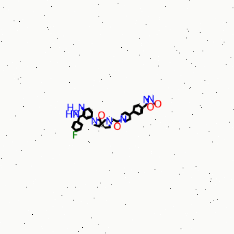 Cn1nc(-c2ccc(C3=CCN(C(=O)CN4CC[C@]5(CCN(c6ccc(N)c(C(=N)c7ccc(F)cc7)c6)C5=O)C4)CC3)cc2)oc1=O